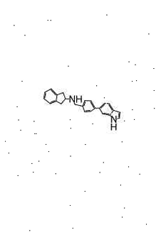 c1ccc2c(c1)CC(NCc1ccc(-c3ccc4cc[nH]c4c3)cc1)C2